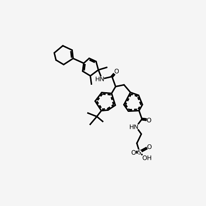 CC1C=C(C2=CCCCC2)C=CC1(C)NC(=O)C(Cc1ccc(C(=O)NCCS(=O)(=O)O)cc1)c1ccc(C(C)(C)C)cc1